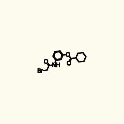 O=C(CBr)Nc1cccc(OC(=O)C2CCCCC2)c1